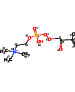 C=C(C)C(=O)COOP(=O)(O)OCC[N+](C)(C)C